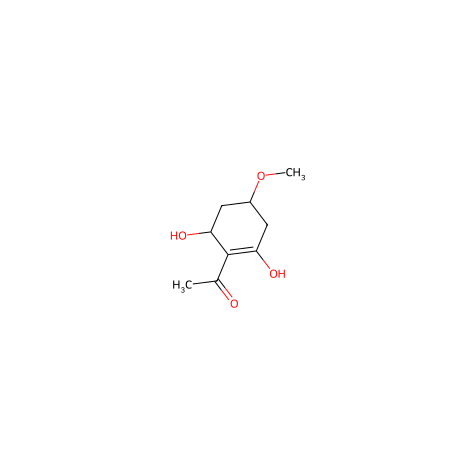 COC1CC(O)=C(C(C)=O)C(O)C1